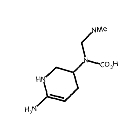 CNCN(C(=O)O)C1CC=C(N)NC1